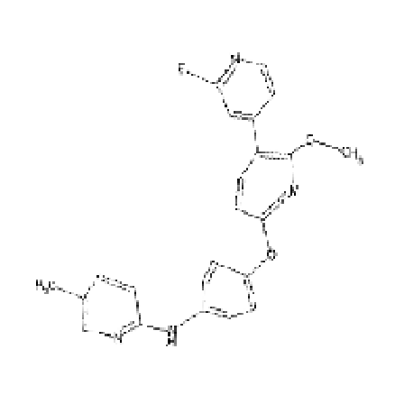 COc1nc(Oc2ccc(Nc3ccc(C)cn3)cc2)ccc1-c1ccnc(F)c1